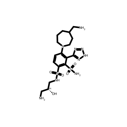 NCC1CCCN(c2ccc(S(=O)(=O)NC[C@H](O)CN)c(S(N)(=O)=O)c2-c2nn[nH]n2)CC1